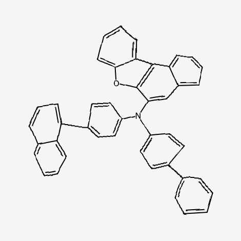 c1ccc(-c2ccc(N(c3ccc(-c4cccc5ccccc45)cc3)c3cc4ccccc4c4c3oc3ccccc34)cc2)cc1